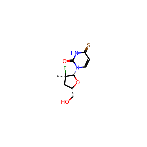 C[C@@]1(F)C[C@@H](CO)O[C@H]1n1ccc(=S)[nH]c1=O